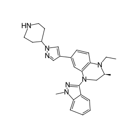 CCN1c2ccc(-c3cnn(C4CCNCC4)c3)cc2N(c2nn(C)c3ccccc23)C[C@@H]1C